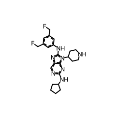 FCc1cc(CF)cc(Nc2nc3cnc(NC4CCCC4)nc3n2C2CCNCC2)c1